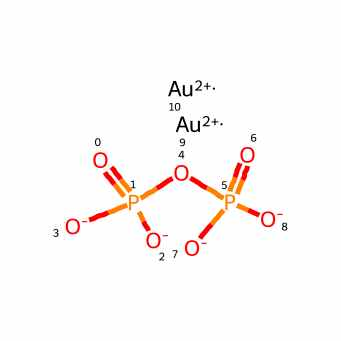 O=P([O-])([O-])OP(=O)([O-])[O-].[Au+2].[Au+2]